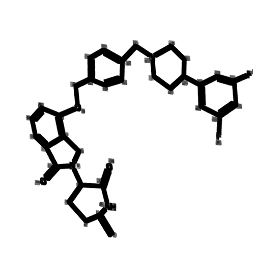 C=C1CCC(N2Cc3c(OCc4ccc(CN5CCC(c6cc(F)cc(F)c6)CC5)cc4)cccc3C2=O)C(=O)N1